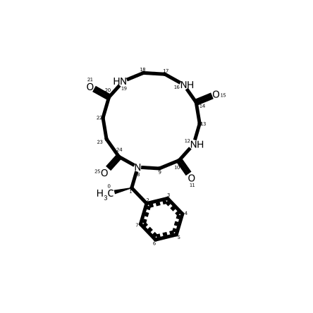 C[C@H](c1ccccc1)N1CC(=O)NCC(=O)NCCNC(=O)CCC1=O